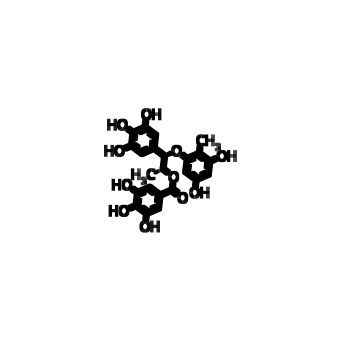 Cc1c(O)cc(O)cc1O[C@H](c1cc(O)c(O)c(O)c1)[C@@H](C)OC(=O)c1cc(O)c(O)c(O)c1